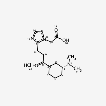 CN(C)[C@@H]1CCCN(C(=O)CCc2nccn2CC(=O)O)C1.Cl